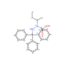 CCC(C)N(NC(c1ccccc1)(c1ccccc1)c1ccccc1)C(=O)O